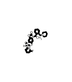 C[C@H](c1ccccc1CN1CCCCC1)n1c(=O)oc2cc(S(=O)(=O)Nc3cccc(F)n3)c(F)cc21